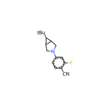 CC(C)(C)C1C2CN(c3ccc(C#N)c(F)c3)CC21